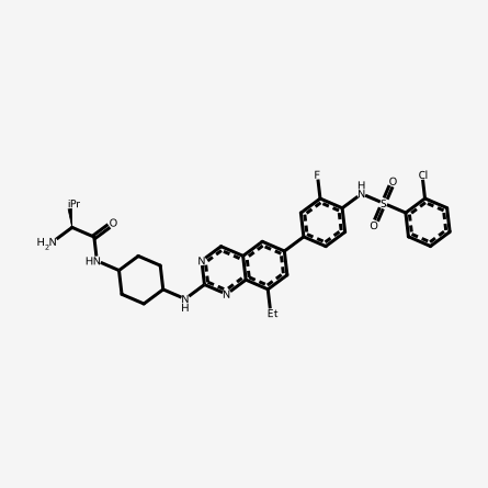 CCc1cc(-c2ccc(NS(=O)(=O)c3ccccc3Cl)c(F)c2)cc2cnc(NC3CCC(NC(=O)[C@@H](N)C(C)C)CC3)nc12